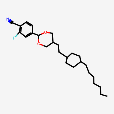 CCCCCCCC1CCC(CCC2COC(c3ccc(C#N)c(F)c3)OC2)CC1